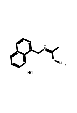 CC(ON)=[SH]Cc1cccc2ccccc12.Cl